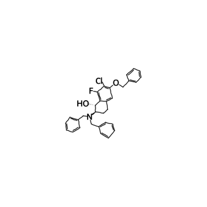 O[C@@H]1c2c(cc(OCc3ccccc3)c(Cl)c2F)CC[C@H]1N(Cc1ccccc1)Cc1ccccc1